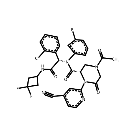 CC(=O)N1CC(=O)N(c2cc(C#N)ccn2)[C@H](C(=O)N(c2cccc(F)c2)[C@H](C(=O)NC2CC(F)(F)C2)c2ccccc2Cl)C1